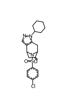 C=C1CC2c3cnn(C4CCCCC4)c3CC1N2S(=O)(=O)c1ccc(Cl)cc1